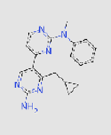 CN(c1ccccc1)c1nccc(-c2cnc(N)nc2CC2CC2)n1